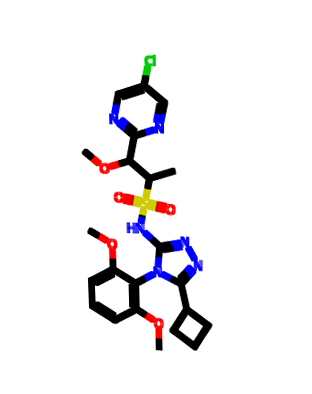 COc1cccc(OC)c1-n1c(NS(=O)(=O)C(C)C(OC)c2ncc(Cl)cn2)nnc1C1CCC1